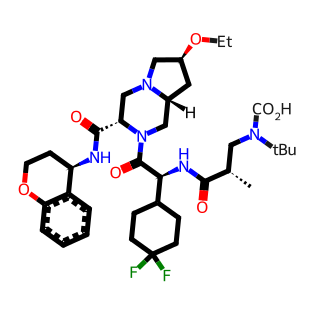 CCO[C@H]1C[C@@H]2CN(C(=O)[C@@H](NC(=O)[C@@H](C)CN(C(=O)O)C(C)(C)C)C3CCC(F)(F)CC3)[C@H](C(=O)N[C@@H]3CCOc4ccccc43)CN2C1